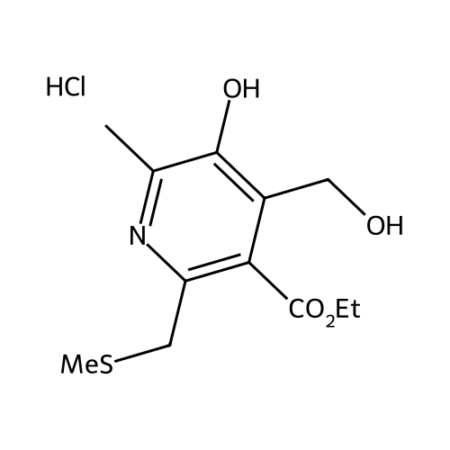 CCOC(=O)c1c(CSC)nc(C)c(O)c1CO.Cl